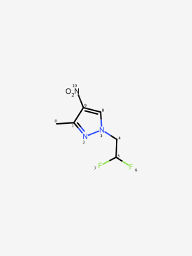 Cc1nn(CC(F)F)cc1[N+](=O)[O-]